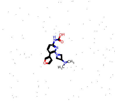 CN(C)C1CN(c2nc(NC(=O)O)ccc2-c2ccoc2)C1